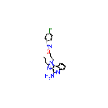 CCCc1nc2c(N)nc3ccccc3c2n1CCCON=Cc1ccc(F)cc1